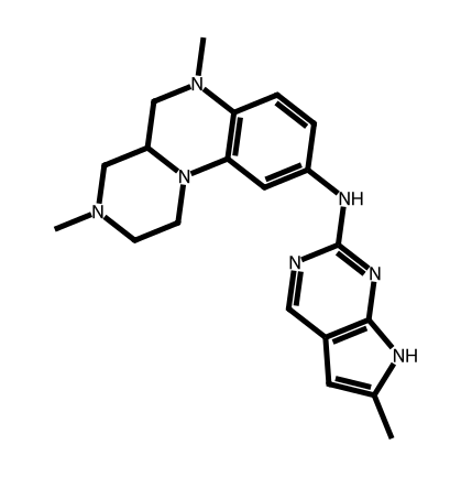 Cc1cc2cnc(Nc3ccc4c(c3)N3CCN(C)CC3CN4C)nc2[nH]1